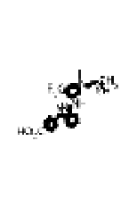 CN(C)CCNc1cc(Nc2nnc(-c3ccc(C(=O)O)cc3)c3ccccc23)cc(C(F)(F)F)c1